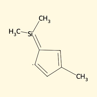 CC1=CC(=[Si](C)C)[C]=C1